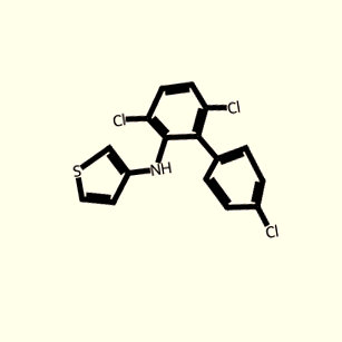 Clc1ccc(-c2c(Cl)ccc(Cl)c2Nc2ccsc2)cc1